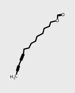 CC#CC#CCCCCCCCCCOC=O